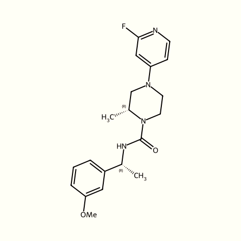 COc1cccc([C@@H](C)NC(=O)N2CCN(c3ccnc(F)c3)C[C@H]2C)c1